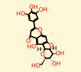 O=c1cc(-c2cc(O)c(O)c(O)c2)oc2cc3c(c(O)c12)[C@@H]1O[C@H](CO)[C@@H](O)[C@H](O)[C@@H]1O3